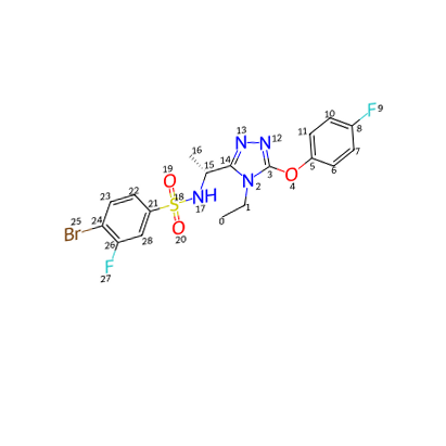 CCn1c(Oc2ccc(F)cc2)nnc1[C@@H](C)NS(=O)(=O)c1ccc(Br)c(F)c1